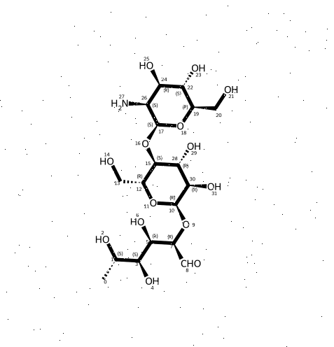 C[C@H](O)[C@H](O)[C@@H](O)[C@H](C=O)O[C@H]1O[C@H](CO)[C@@H](O[C@@H]2O[C@H](CO)[C@@H](O)[C@H](O)[C@@H]2N)[C@H](O)[C@H]1O